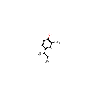 CC(C)CC(c1ccc(O)c(C(F)(F)F)c1)C(C)C